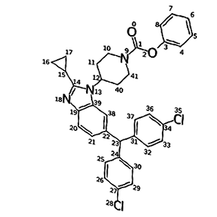 O=C(Oc1ccccc1)N1CCC(n2c(C3CC3)nc3ccc(C(c4ccc(Cl)cc4)c4ccc(Cl)cc4)cc32)CC1